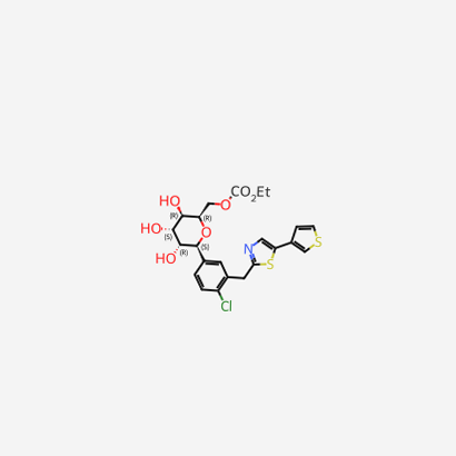 CCOC(=O)OC[C@H]1O[C@@H](c2ccc(Cl)c(Cc3ncc(-c4ccsc4)s3)c2)[C@H](O)[C@H](O)[C@H]1O